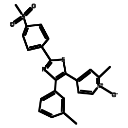 Cc1cccc(-c2nc(-c3ccc(S(C)(=O)=O)cc3)sc2-c2cc[n+]([O-])c(C)c2)c1